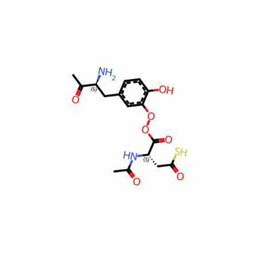 CC(=O)N[C@@H](CC(=O)S)C(=O)OOc1cc(C[C@H](N)C(C)=O)ccc1O